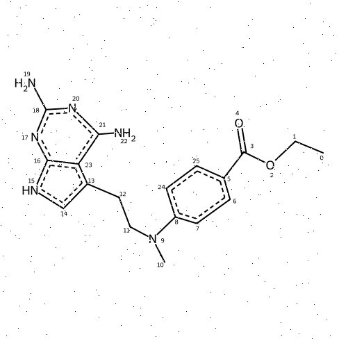 CCOC(=O)c1ccc(N(C)CCc2c[nH]c3nc(N)nc(N)c23)cc1